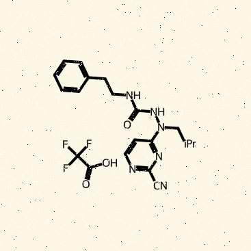 CC(C)CN(NC(=O)NCCc1ccccc1)c1ccnc(C#N)n1.O=C(O)C(F)(F)F